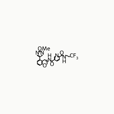 COc1ncc(-c2cccc3c2C[C@H](NC(=O)c2ccc(C(=O)NCCC(F)(F)F)nc2)CO3)cn1